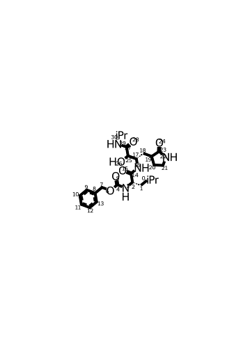 CC(C)C[C@H](NC(=O)OCc1ccccc1)C(=O)N[C@@H](CC1CCNC1=O)C(O)C(=O)NC(C)C